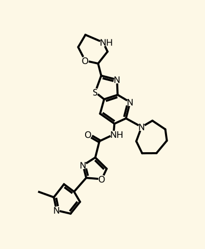 Cc1cc(-c2nc(C(=O)Nc3cc4sc(C5CNCCO5)nc4nc3N3CCCCCC3)co2)ccn1